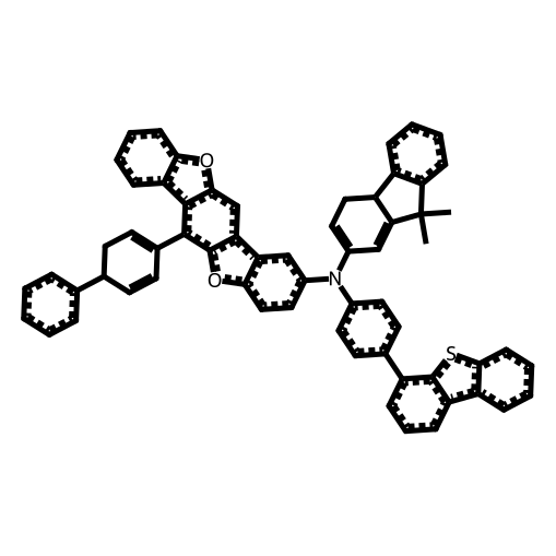 CC1(C)C2=CC(N(c3ccc(-c4cccc5c4sc4ccccc45)cc3)c3ccc4oc5c(C6=CCC(c7ccccc7)C=C6)c6c(cc5c4c3)oc3ccccc36)=CCC2c2ccccc21